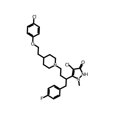 Cn1[nH]c(=O)c(Cl)c1C(CCN1CCC(CCOc2ccc(Cl)cc2)CC1)Cc1ccc(F)cc1